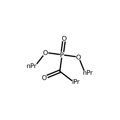 CCCOP(=O)(OCCC)C(=O)C(C)C